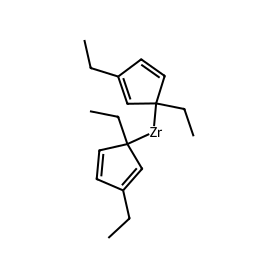 CCC1=C[C](CC)([Zr][C]2(CC)C=CC(CC)=C2)C=C1